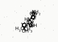 CC(C)(O)C1CCCN(c2nc(Nc3cccc(S(N)(=O)=O)c3)nc3[nH]ccc23)C1